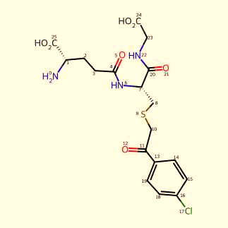 N[C@@H](CCC(=O)N[C@@H](CSCC(=O)c1ccc(Cl)cc1)C(=O)NCC(=O)O)C(=O)O